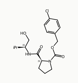 CC(C)[C@@H](CO)NC(=O)[C@@H]1CCCN1C(=O)OCc1ccc(Cl)cc1